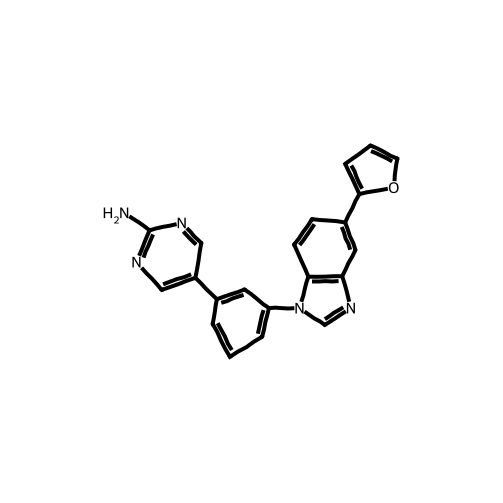 Nc1ncc(-c2cccc(-n3cnc4cc(-c5ccco5)ccc43)c2)cn1